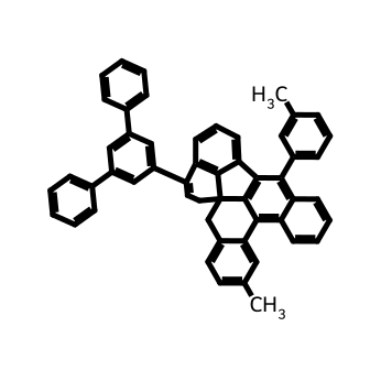 Cc1cccc(-c2c3c4c(c5ccccc25)-c2cc(C)ccc2CC42CC=C(c4cc(-c5ccccc5)cc(-c5ccccc5)c4)c4cccc-3c42)c1